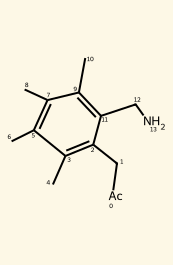 CC(=O)Cc1c(C)c(C)c(C)c(C)c1CN